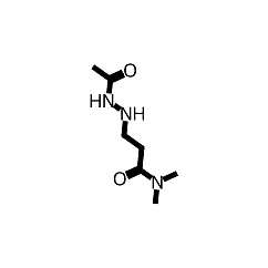 CC(=O)NNCCC(=O)N(C)C